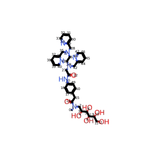 CN(CC(O)C(O)C(O)C(O)CO)C(=O)Cc1ccc(NC(=O)CN(CCN(Cc2ccccn2)Cc2ccccn2)Cc2ccccn2)cc1